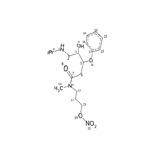 CC(C)NCC(O)C(CC(=O)N(C)CCCO[N+](=O)[O-])Oc1ccccc1